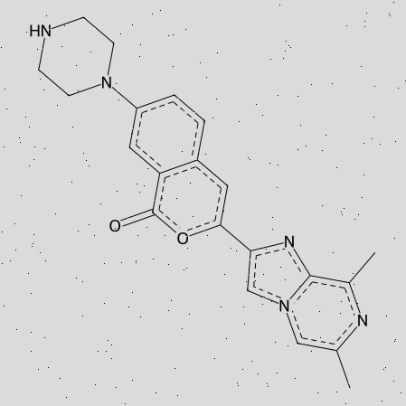 Cc1cn2cc(-c3cc4ccc(N5CCNCC5)cc4c(=O)o3)nc2c(C)n1